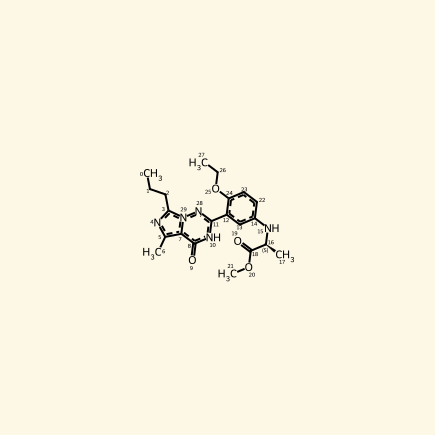 CCCc1nc(C)c2c(=O)[nH]c(-c3cc(N[C@@H](C)C(=O)OC)ccc3OCC)nn12